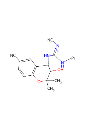 CC(C)N/C(=N/C#N)NC1c2cc(C#N)ccc2OC(C)(C)C1O